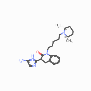 C[C@@H]1CCC[C@H](C)N1CCCCCN1C(=O)C(c2ncc(N)[nH]2)Cc2ccccc21